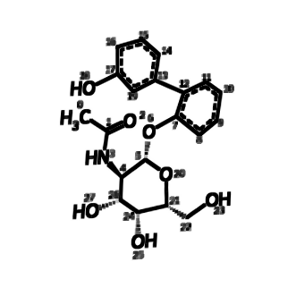 CC(=O)N[C@H]1[C@H](Oc2ccccc2-c2cccc(O)c2)O[C@H](CO)[C@H](O)[C@@H]1O